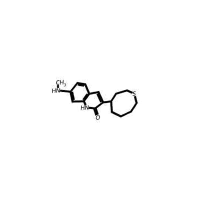 CNc1ccc2cc(C3CCCCSCC3)c(=O)[nH]c2c1